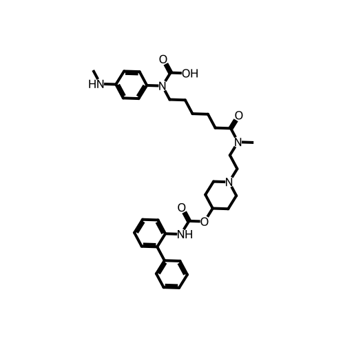 CNc1ccc(N(CCCCCC(=O)N(C)CCN2CCC(OC(=O)Nc3ccccc3-c3ccccc3)CC2)C(=O)O)cc1